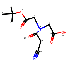 CC(C)(C)OC(=O)CN(CC(=O)O)C(=O)CC#N